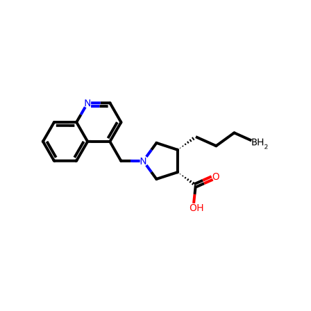 BCCC[C@H]1CN(Cc2ccnc3ccccc23)C[C@H]1C(=O)O